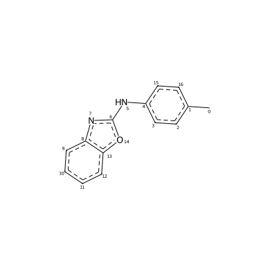 Cc1ccc(Nc2nc3ccccc3o2)cc1